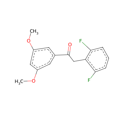 COc1cc(OC)cc(C(=O)Cc2c(F)cccc2F)c1